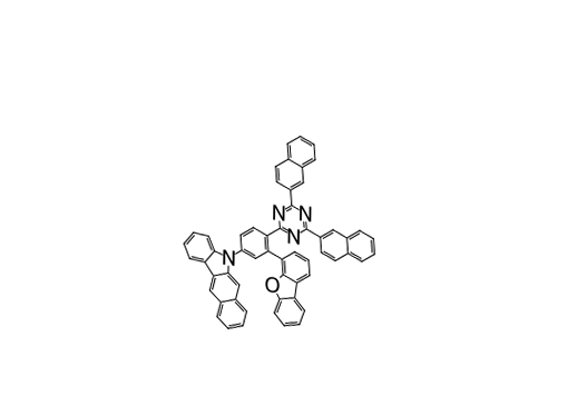 c1ccc2cc(-c3nc(-c4ccc5ccccc5c4)nc(-c4ccc(-n5c6ccccc6c6cc7ccccc7cc65)cc4-c4cccc5c4oc4ccccc45)n3)ccc2c1